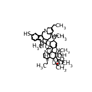 CCC1=C[C@H]2CN(C1)Cc1c([nH]c3ccc(S)cc13)[C@@](C(=O)OC)(C1C=C3C(=CC1OC)N(C)[C@H]1[C@@](O)(C(=O)OC)[C@H](OC(C)=O)C4[C@@H](CC)CCN5CC[C@]31[C@H]45)C2